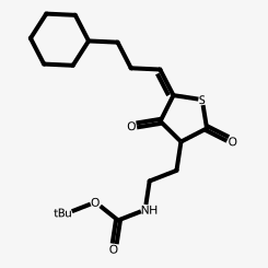 CC(C)(C)OC(=O)NCCC1C(=O)SC(=CCCC2CCCCC2)C1=O